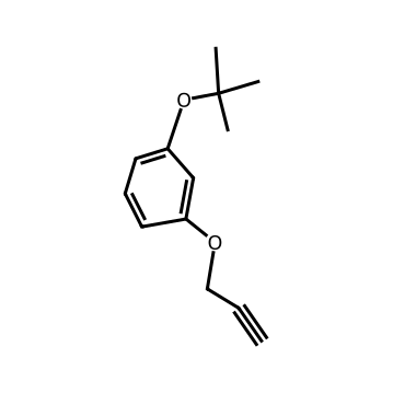 C#CCOc1cccc(OC(C)(C)C)c1